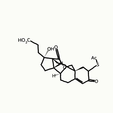 CC(=O)SC1C[C@]23COC(=O)[C@]45CCC2[C@@H](CCC3=CC1=O)[C@@H]4CC[C@@]5(O)CCC(=O)O